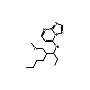 CCCCC(COC)C(CC)Nc1ccnc2ncnn12